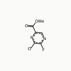 COC(=O)c1cnc(F)c(Cl)n1